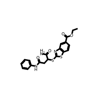 CCOC(=O)c1ccc2sc(SC(CC(=O)Nc3ccccc3)C(N)=O)nc2c1